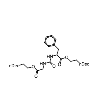 CCCCCCCCCCCCOC(=O)CNC(=O)NC(Cc1ccccc1)C(=O)OCCCCCCCCCCCC